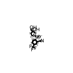 N#Cc1cc(C(F)(F)F)ccc1[S+]([O-])N1CC[C@@](O)(CO)C1